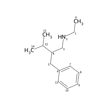 CCNCC(Cc1ccccc1)C(C)C